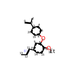 C=C(C)c1ccc(Oc2cc(/C=C/C)ccc2OCC)cc1